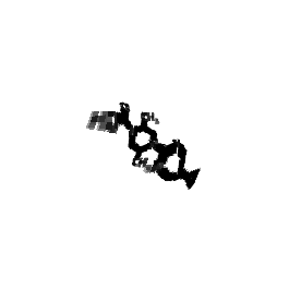 CC1CN(c2ncc(C3CC3)cn2)C(C)CN1C(=O)O